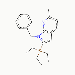 CCS(CC)(CC)c1cc2ccc(C)nc2n1Cc1ccccc1